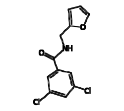 O=C(NCc1ccco1)c1cc(Cl)cc(Cl)c1